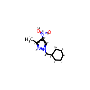 Cc1nn(CC2CCCCC2)cc1[N+](=O)[O-]